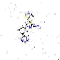 Cc1ncsc1[C@@H]1C[C@@H](c2cccc(-c3cncnc3)c2)N=C(N)S1